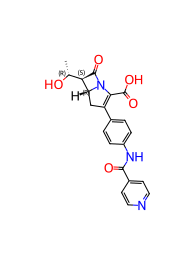 C[C@@H](O)[C@H]1C(=O)N2C(C(=O)O)=C(c3ccc(NC(=O)c4ccncc4)cc3)C[C@H]12